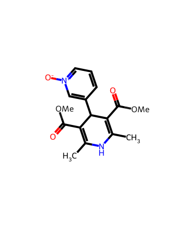 COC(=O)C1=C(C)NC(C)=C(C(=O)OC)C1c1ccc[n+]([O-])c1